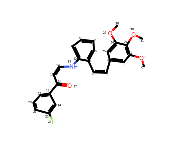 COc1cc(/C=C\c2ccccc2N/C=C\C(=O)c2cccc(F)c2)cc(OC)c1OC